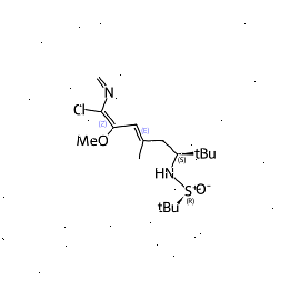 C=N/C(Cl)=C(\C=C(/C)C[C@H](N[S@@+]([O-])C(C)(C)C)C(C)(C)C)OC